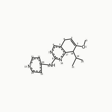 COC1=CCc2cnc(Nc3ccncc3)nc2C1C(C)C